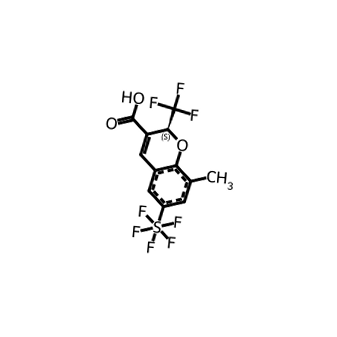 Cc1cc(S(F)(F)(F)(F)F)cc2c1O[C@H](C(F)(F)F)C(C(=O)O)=C2